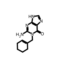 Nc1nc2[nH]cnc2c(=O)n1CC1=CCCCC1